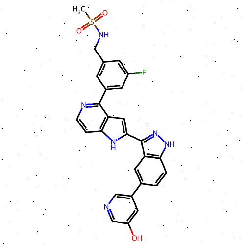 CS(=O)(=O)NCc1cc(F)cc(-c2nccc3[nH]c(-c4n[nH]c5ccc(-c6cncc(O)c6)cc45)cc23)c1